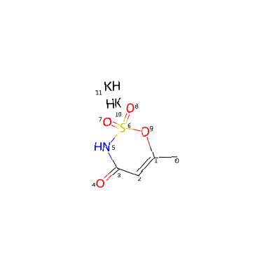 CC1=CC(=O)NS(=O)(=O)O1.[KH].[KH]